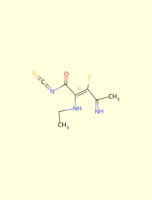 CCN/C(C(=O)N=C=S)=C(/F)C(C)=N